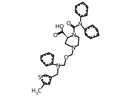 Cc1cc(CN(COCN2CCN(C(=O)N(c3ccccc3)c3ccccc3)[C@H](C(=O)O)C2)c2ccccc2)cs1